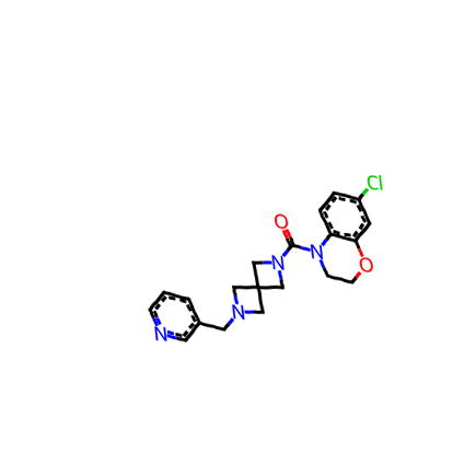 O=C(N1CC2(CN(Cc3cccnc3)C2)C1)N1CCOc2cc(Cl)ccc21